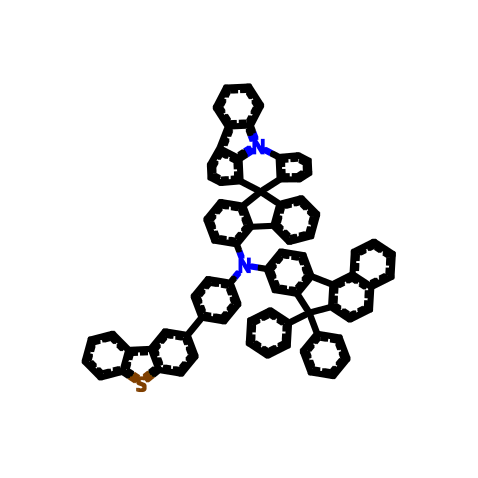 c1ccc(C2(c3ccccc3)c3cc(N(c4ccc(-c5ccc6sc7ccccc7c6c5)cc4)c4cccc5c4-c4ccccc4C54c5ccccc5-n5c6ccccc6c6cccc4c65)ccc3-c3c2ccc2ccccc32)cc1